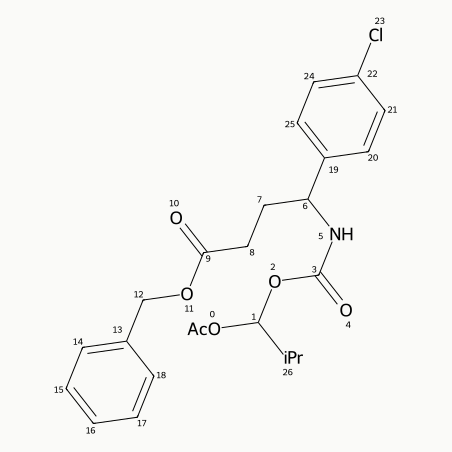 CC(=O)OC(OC(=O)NC(CCC(=O)OCc1ccccc1)c1ccc(Cl)cc1)C(C)C